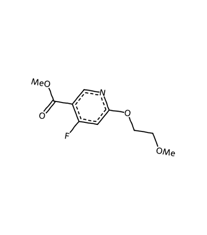 COCCOc1cc(F)c(C(=O)OC)cn1